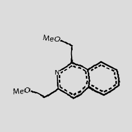 COCc1cc2ccccc2c(COC)n1